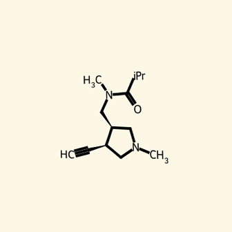 C#C[C@@H]1CN(C)C[C@@H]1CN(C)C(=O)C(C)C